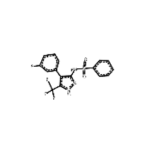 O=S(=O)(Nc1n[nH]c(C(F)(F)F)c1-c1cccc(F)c1)c1ccccc1